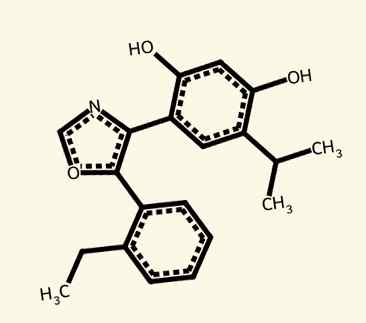 CCc1ccccc1-c1ocnc1-c1cc(C(C)C)c(O)cc1O